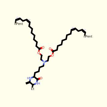 C=C1NC(CCCCN(CCOC(=O)CCCCCCC/C=C\C/C=C\CCCCC)CCOC(=O)CCCCCCC/C=C\C/C=C\CCCCC)C(=O)NC1CC